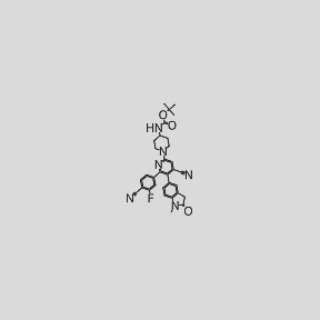 CN1C(=O)Cc2cc(-c3c(C#N)cc(N4CCC(NC(=O)OC(C)(C)C)CC4)nc3-c3ccc(C#N)c(F)c3)ccc21